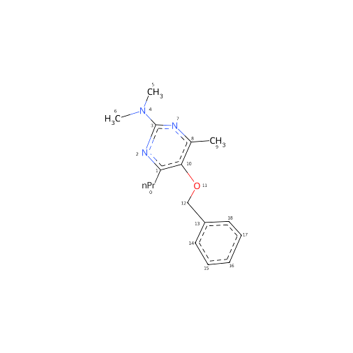 CCCc1nc(N(C)C)nc(C)c1OCc1ccccc1